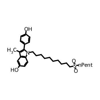 CCCCCS(=O)(=O)CCCCCCCCCCn1c(-c2ccc(O)cc2)c(C)c2cc(O)ccc21